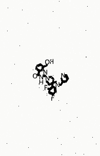 O=c1[nH]c(N2CCC3(CC2)CN(Cc2cccnc2)c2cc(F)cc(F)c23)nc2c(CO)cccc12